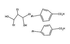 CC(C)c1ccc(C(=O)O)cc1.CC(C)c1ccc(C(=O)O)cc1.CCC(O)C(CC)C(O)CC